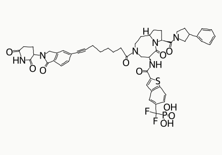 O=C1CCC(N2Cc3cc(C#CCCCCCC(=O)N4CC[C@H]5CC[C@@H](C(=O)N6CCC(c7ccccc7)C6)N5C(=O)[C@@H](NC(=O)c5cc6cc(C(F)(F)P(=O)(O)O)ccc6s5)C4)ccc3C2=O)C(=O)N1